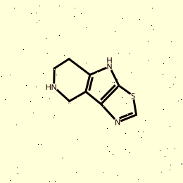 [C]1NCCc2[nH]c3scnc3c21